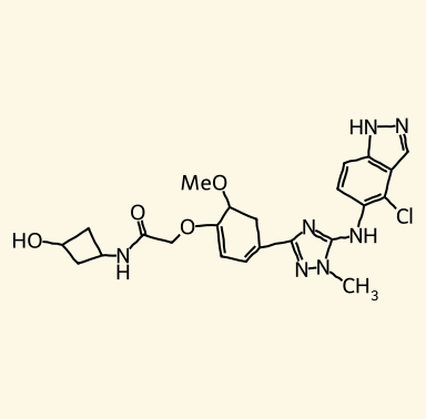 COC1CC(c2nc(Nc3ccc4[nH]ncc4c3Cl)n(C)n2)=CC=C1OCC(=O)NC1CC(O)C1